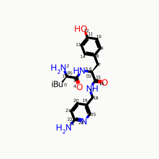 CCC(C)[C@@H](N)C(=O)N[C@@H](Cc1ccc(O)cc1)C(=O)NCc1ccc(N)nc1